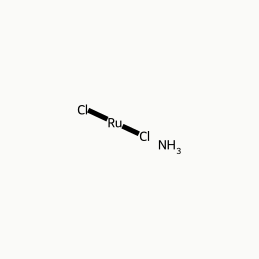 N.[Cl][Ru][Cl]